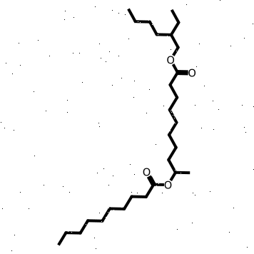 CCCCCCCCCC(=O)OC(C)CCCCCCCC(=O)OCC(CC)CCCC